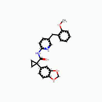 COc1ccccc1Cc1ccc(NC(=O)C2(c3ccc4c(c3)OCO4)CC2)nc1